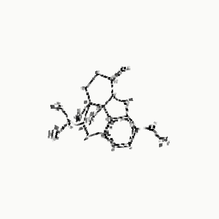 COc1ccc2c3c1OC1C(=O)CCC(O)(C(N(C)C)C2)C31C